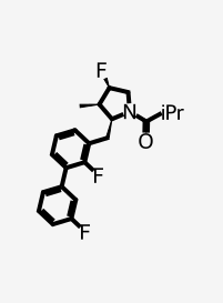 CC(C)C(=O)N1C[C@H](F)[C@H](C)[C@@H]1Cc1cccc(-c2cccc(F)c2)c1F